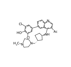 CC(=O)c1cnc2ccc(-c3cc(Cl)c(O)c(Cl)c3)cc2c1N[C@@H]1CC[C@@H](CN2CCN(C)CC2)C1